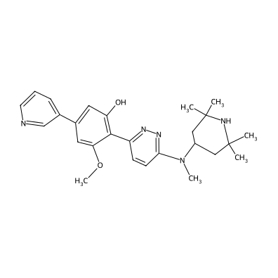 COc1cc(-c2cccnc2)cc(O)c1-c1ccc(N(C)C2CC(C)(C)NC(C)(C)C2)nn1